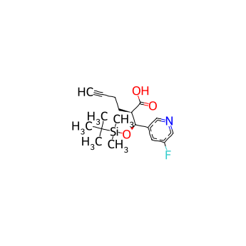 C#CCC[C@@H](C(=O)O)[C@H](O[Si](C)(C)C(C)(C)C)c1cncc(F)c1